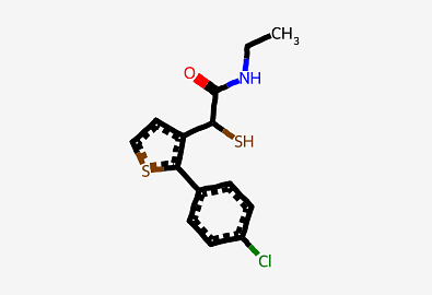 CCNC(=O)C(S)c1ccsc1-c1ccc(Cl)cc1